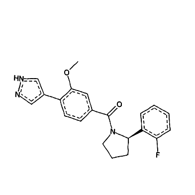 COc1cc(C(=O)N2CCC[C@@H]2c2ccccc2F)ccc1-c1cn[nH]c1